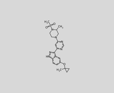 CC1CN(c2cc(-c3n[nH]c4ccc(OC5(C)CC5)cc34)ncn2)CCN1S(C)(=O)=O